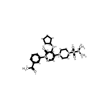 CC(=O)c1cccc(-n2ncc(N3CCN(S(=O)(=O)N(C)C)CC3)c(OC3CCCC3)c2=O)c1